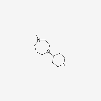 CN1CCCN(C2CC[N]CC2)CC1